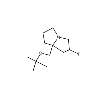 CC(C)(C)OCC12CCCN1CC(F)C2